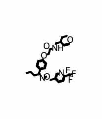 CCCC(=NOCc1ccc(C(F)(F)F)nc1)c1ccc(OCC(=O)NCC2C=COCC2)cc1